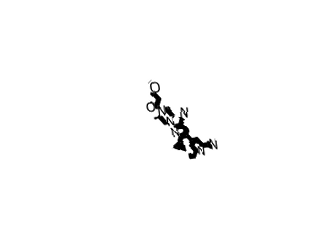 C=Cc1cc(-c2cc(C#N)c(N3CCN(C(=O)CCOC)[C@H](C)C3)nc2C2CC2)cc(C#N)n1